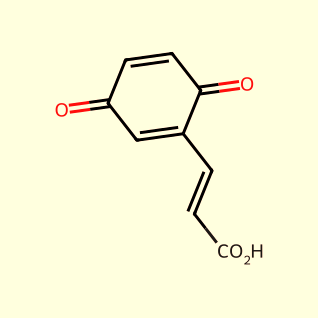 O=C1C=CC(=O)C(/C=C/C(=O)O)=C1